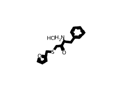 Cl.N[C@@H](Cc1ccccc1)C(=O)CSCc1ccco1